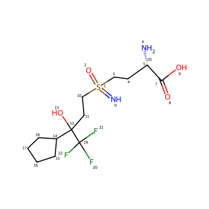 N=S(=O)(CC[C@H](N)C(=O)O)CCC(O)(C1CCCC1)C(F)(F)F